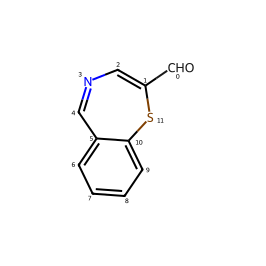 O=CC1=CN=Cc2ccccc2S1